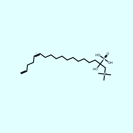 C=CCC/C=C\CCCCCCCCCCC(O)(C[N+](C)(C)C)P(=O)(O)O